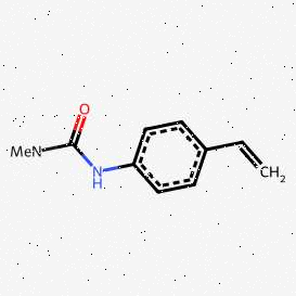 C=Cc1ccc(NC(=O)NC)cc1